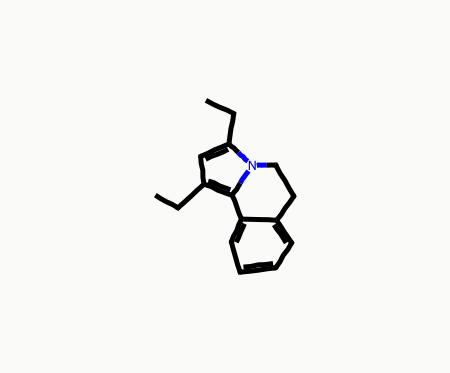 CCc1cc(CC)n2c1-c1ccccc1CC2